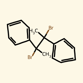 CC(Br)(c1ccccc1)C(C)(Br)c1ccccc1